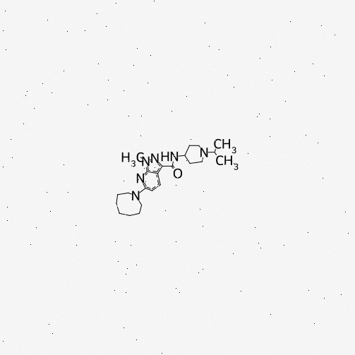 CC(C)N1CCC(NC(=O)c2nn(C)c3nc(N4CCCCCCC4)ccc23)CC1